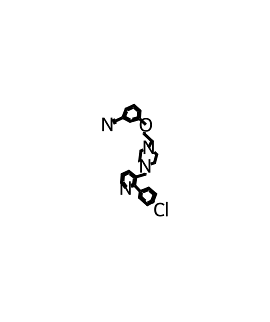 N#Cc1cccc(OCCN2CCN(Cc3cccnc3-c3ccc(Cl)cc3)CC2)c1